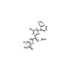 Br.CCc1ccccc1-c1cc(F)cc(C(=O)NC[C@@H](N)C(=O)O)c1